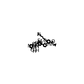 CCn1nc(-c2cccc(-c3cc(C(=O)NC4CC4)ccc3OCCCCCN(C)C)c2)cc(NC(=O)Nc2c(Cl)cncc2Cl)c1=O